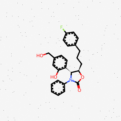 O=C1O[C@H](CCCc2ccc(F)cc2)[C@@H](c2ccc(CO)cc2O)N1c1ccccc1